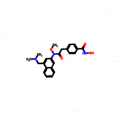 CON(C(=O)Cc1ccc(C(=O)NO)cc1)c1cc(CN(C)C)c2ccccc2c1